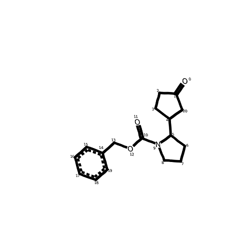 O=C1CCC(C2CCCN2C(=O)OCc2ccccc2)C1